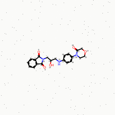 O=C1c2ccccc2C(=O)N1CC(O)CNc1ccc(N2CCOCC2=O)cc1